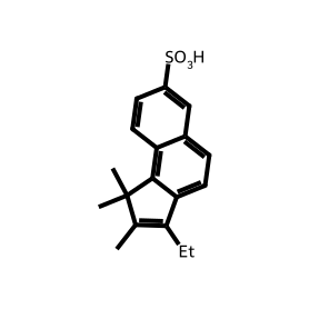 CCC1=C(C)C(C)(C)c2c1ccc1cc(S(=O)(=O)O)ccc21